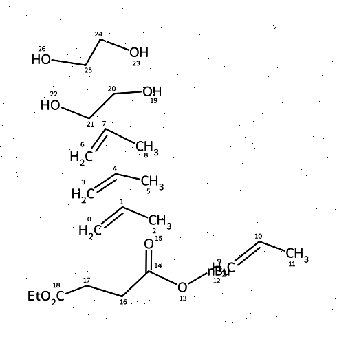 C=CC.C=CC.C=CC.C=CC.CCCCOC(=O)CCC(=O)OCC.OCCO.OCCO